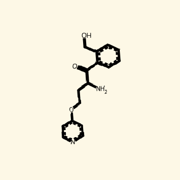 NC(CCOc1ccncc1)C(=O)c1ccccc1CO